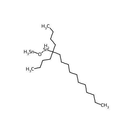 CCCCCCCCCCC[C](CCCC)(CCCC)[SnH2][O][SnH3]